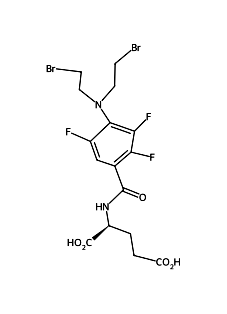 O=C(O)CC[C@H](NC(=O)c1cc(F)c(N(CCBr)CCBr)c(F)c1F)C(=O)O